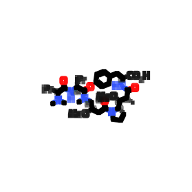 CC[C@H](C)[C@@H]([C@@H](CC(=O)N1CCC[C@H]1[C@H](OC)[C@@H](C)C(=O)N[C@@H](CC1C=CC=CC1)C(=O)O)OC)N(C)C(=O)[C@@H](NC(=O)[C@H](C(C)C)N(C)C)C(C)C